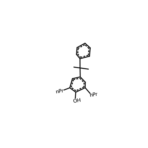 CCCc1cc(C(C)(C)c2ccccc2)cc(CCC)c1O